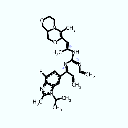 C=C/N=C(\N=C(/C=C)c1cc(F)c2nc(C)n(C(C)C)c2c1)N/C(C)=C/C1=C(C)N2CCOCC2CO1